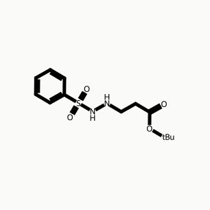 CC(C)(C)OC(=O)CCNNS(=O)(=O)c1ccccc1